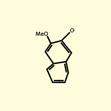 COc1cc2ccccc2cc1[O]